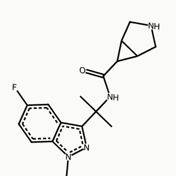 Cn1nc(C(C)(C)NC(=O)C2C3CNCC32)c2cc(F)ccc21